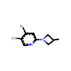 CCc1cc(N2CC(C)C2)ncc1[N+](=O)[O-]